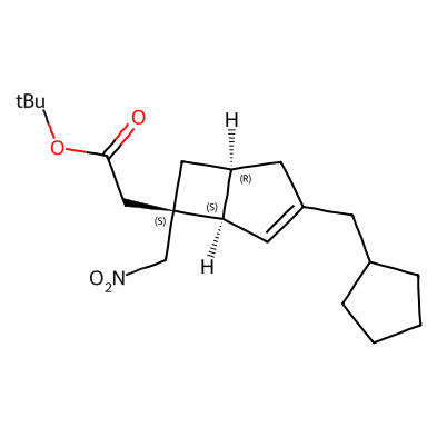 CC(C)(C)OC(=O)C[C@@]1(C[N+](=O)[O-])C[C@H]2CC(CC3CCCC3)=C[C@H]21